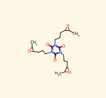 CC1OC1CCCn1c(=O)n(CCCC2OC2C)c(=O)n(CCCC2OC2C)c1=O